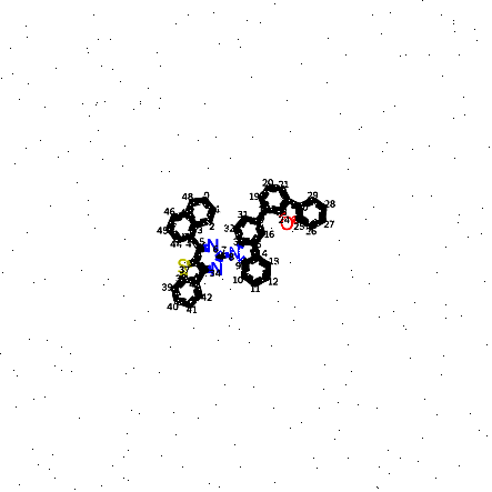 c1ccc2c(-c3nc(-n4c5ccccc5c5cc(-c6cccc7c6oc6ccccc67)ccc54)nc4c3sc3ccccc34)cccc2c1